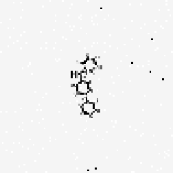 C1=CCC(c2ccc(Nc3ccccc3)cc2)C=C1